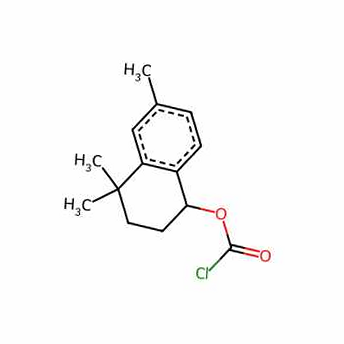 Cc1ccc2c(c1)C(C)(C)CCC2OC(=O)Cl